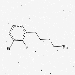 CCc1cccc(CCCCN)c1F